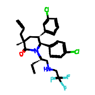 C=CC[C@@]1(C)C[C@H](c2cccc(Cl)c2)[C@@H](c2ccc(Cl)cc2)N([C@@H](CC)CNCC(F)(F)F)C1=O